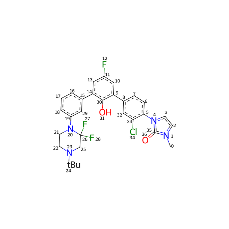 Cn1ccn(-c2ccc(-c3cc(F)cc(-c4cccc(N5CCN(C(C)(C)C)CC5(F)F)c4)c3O)cc2Cl)c1=O